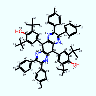 Cc1ccc(-c2nc3c(nc2-c2ccc(C)cc2)C(c2cc(C(C)(C)C)c(O)c(C(C)(C)C)c2)c2nc(-c4ccc(C)cc4)c(-c4ccc(C)cc4)nc2C3c2cc(C(C)(C)C)c(O)c(C(C)(C)C)c2)cc1